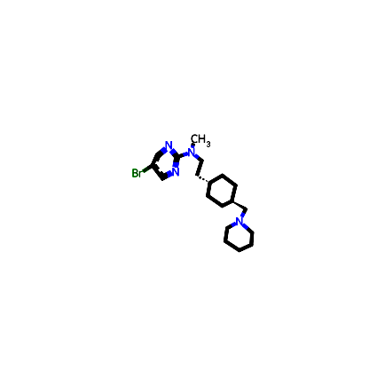 CN(CC[C@H]1CC[C@H](CN2CCCCC2)CC1)c1ncc(Br)cn1